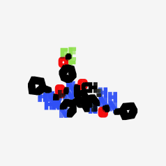 CC(c1ccnc(NC(=O)NCc2ccccc2)c1)C1(C(C)c2ccnc(NC(=O)NCc3ccccc3)c2)NC(=O)N(c2ccc(OC(F)(F)F)cc2)C1=O